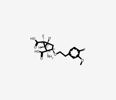 COc1cc(CCO[C@@H]2C[C@@H]3[C@H]([C@]2(N)C(=O)O)[C@@]3(F)C(=O)O)ccc1F